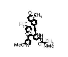 CNC(C)C(=O)Nc1ccc(-c2c(-c3ccnc(OC)c3)nc3cc(C)ccn23)c(C#Cc2ccc3c(ccc(=O)n3C)c2)n1